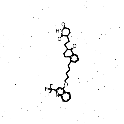 O=C1CCC(CCC2CCc3c(CCCCCOc4cc(C(F)(F)F)nc5ccccc45)cccc3C2=O)C(=O)N1